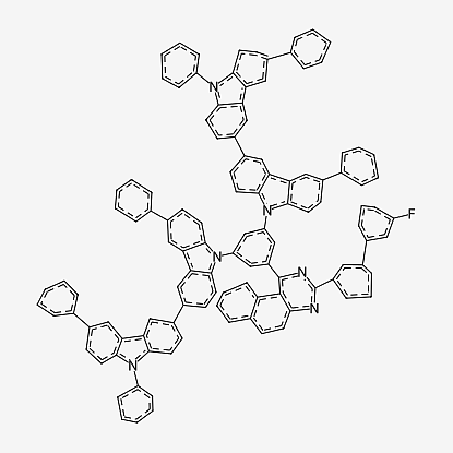 Fc1cccc(-c2cccc(-c3nc(-c4cc(-n5c6ccc(-c7ccccc7)cc6c6cc(-c7ccc8c(c7)c7cc(-c9ccccc9)ccc7n8-c7ccccc7)ccc65)cc(-n5c6ccc(-c7ccccc7)cc6c6cc(-c7ccc8c(c7)c7cc(-c9ccccc9)ccc7n8-c7ccccc7)ccc65)c4)c4c(ccc5ccccc54)n3)c2)c1